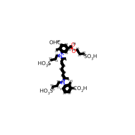 C\C(=C/C=C/C=C/C(C)=[N+](\CCCS(=O)(=O)O)c1cc(C(=O)OCCCS(=O)(=O)O)cc(C=O)c1C)N(CCCS(=O)(=O)O)c1cccc(C(=O)O)c1C